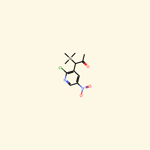 CC(=O)C(c1cc([N+](=O)[O-])cnc1Cl)[Si](C)(C)C